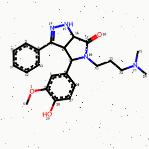 COc1cc(C2C3C(c4ccccc4)=NNC3C(=O)N2CCCN(C)C)ccc1O